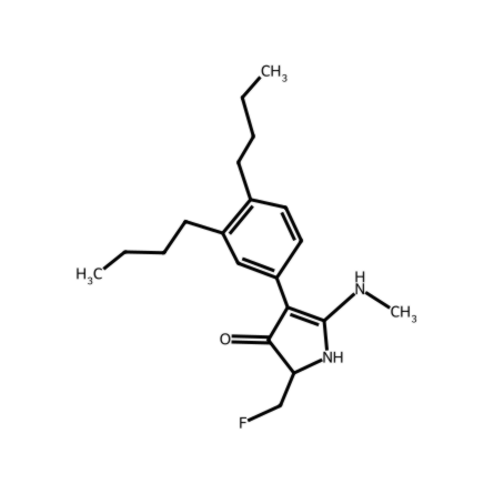 CCCCc1ccc(C2=C(NC)NC(CF)C2=O)cc1CCCC